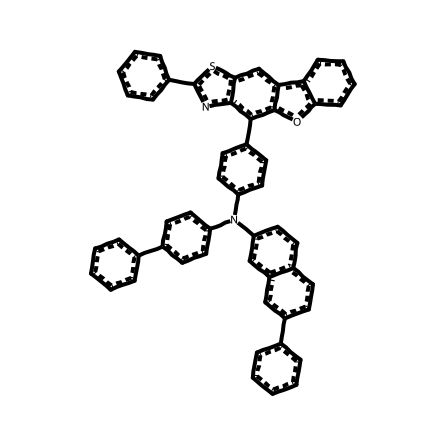 c1ccc(-c2ccc(N(c3ccc(-c4c5nc(-c6ccccc6)sc5cc5c4oc4ccccc45)cc3)c3ccc4ccc(-c5ccccc5)cc4c3)cc2)cc1